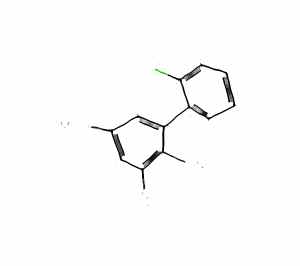 COc1cc(-c2ccccc2Cl)c(C#N)c([N+](=O)[O-])c1